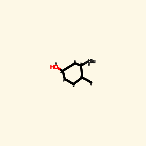 CC1CCC(O)CC1C(C)(C)C